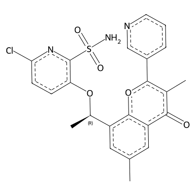 Cc1cc([C@@H](C)Oc2ccc(Cl)nc2S(N)(=O)=O)c2oc(-c3cccnc3)c(C)c(=O)c2c1